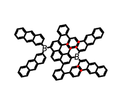 c1ccc(-c2ccccc2-c2cc(B(c3ccc4cc5ccccc5cc4c3)c3ccc4cc5ccccc5cc4c3)c3ccc4c(-c5ccccc5-c5ccccc5)cc(B(c5ccc6cc7ccccc7cc6c5)c5ccc6cc7ccccc7cc6c5)c5ccc2c3c54)cc1